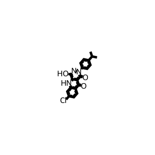 CC(C)c1ccc(-n2nc(O)c3[nH]c4cc(Cl)ccc4c(=O)c3c2=O)cc1